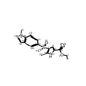 CCOC(=O)c1cc(S(=O)(=O)c2ccc3c(cnn3C)c2)c(C)[nH]1